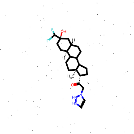 C[C@]12CCC3C(CC[C@H]4C[C@@](O)(C(F)F)CC[C@H]34)C1CC[C@@H]2C(=O)CN1C=CNN1